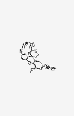 COc1cc(F)c2c(c1)C1(CCSC(N)=N1)c1cc(N=[N+]=[N-])ccc1O2